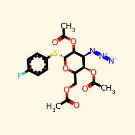 CC(=O)OCC1O[C@H](Sc2ccc(F)cc2)C(OC(C)=O)[C@@H](N=[N+]=[N-])[C@H]1OC(C)=O